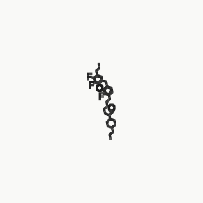 CCCc1cc2c(c(F)c1F)Oc1c(ccc(CCC3CCC(C4CCC(CCC)CC4)CO3)c1F)C2